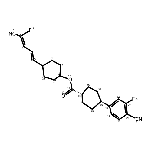 N#CC(F)=C/C=C/C1CCC(OC(=O)[C@H]2CC[C@H](c3ccc(C#N)c(F)c3)CC2)CC1